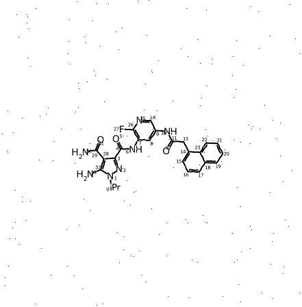 CC(C)n1nc(C(=O)Nc2cc(NC(=O)Cc3cccc4ccccc34)cnc2F)c(C(N)=O)c1N